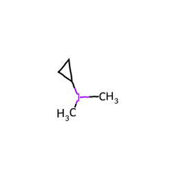 CI(C)C1CC1